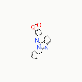 CN(c1ccc2c(c1)OCO2)c1nc(Cc2ccccc2)nc2ccccc12